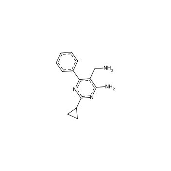 NCc1c(N)nc(C2CC2)nc1-c1ccccc1